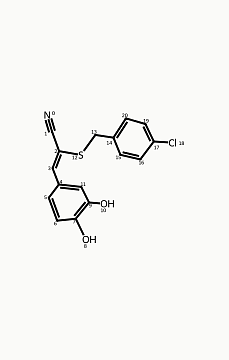 N#CC(=Cc1ccc(O)c(O)c1)SCc1ccc(Cl)cc1